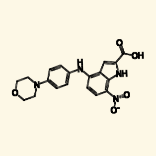 O=C(O)c1cc2c(Nc3ccc(N4CCOCC4)cc3)ccc([N+](=O)[O-])c2[nH]1